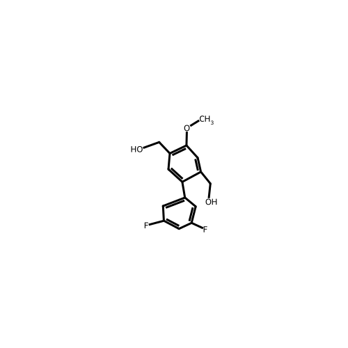 COc1cc(CO)c(-c2cc(F)cc(F)c2)cc1CO